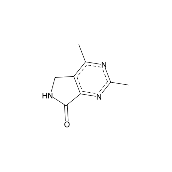 Cc1nc(C)c2c(n1)C(=O)NC2